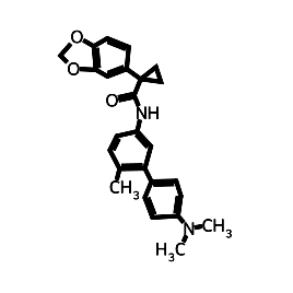 Cc1ccc(NC(=O)C2(c3ccc4c(c3)OCO4)CC2)cc1-c1ccc(N(C)C)cc1